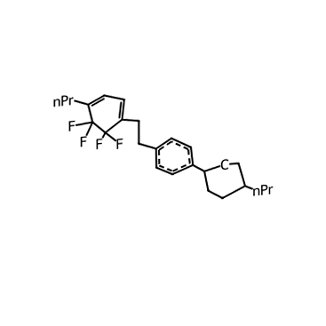 CCCC1=CC=C(CCc2ccc(C3CCC(CCC)CC3)cc2)C(F)(F)C1(F)F